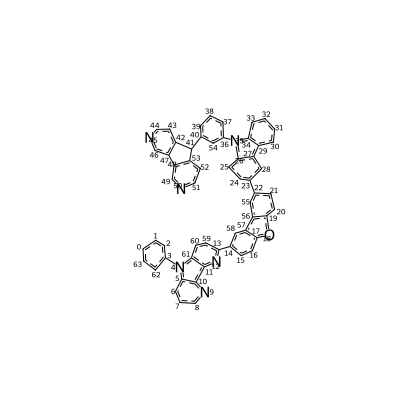 c1ccc(-n2c3cccnc3c3nc(-c4ccc5oc6ccc(-c7ccc8c(c7)c7ccccc7n8-c7cccc(C8c9ccncc9-c9cnccc98)c7)cc6c5c4)ccc32)cc1